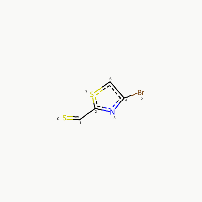 S=Cc1nc(Br)cs1